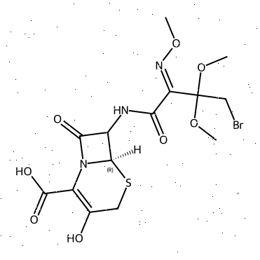 CON=C(C(=O)NC1C(=O)N2C(C(=O)O)=C(O)CS[C@H]12)C(CBr)(OC)OC